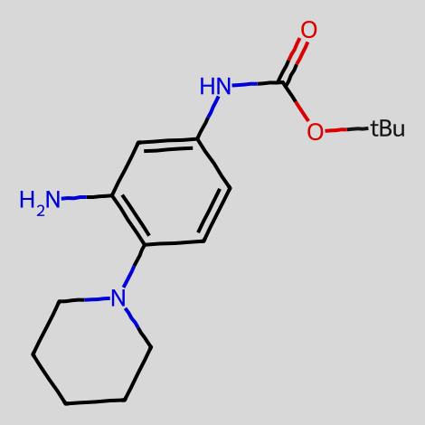 CC(C)(C)OC(=O)Nc1ccc(N2CCCCC2)c(N)c1